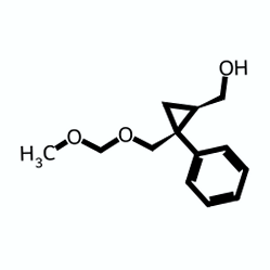 COCOC[C@@]1(c2ccccc2)C[C@H]1CO